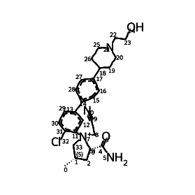 C[C@H]1C[C@@H](C(N)=O)[N+](CC#N)(c2cc(-c3ccc(C4CCN(CCO)CC4)cc3)ccc2Cl)C1